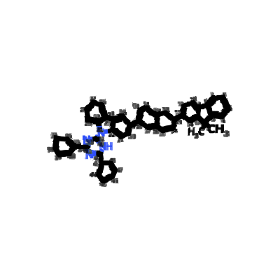 CC1(C)c2ccccc2-c2ccc(-c3ccc4cc(-c5ccc6c(c5)c5ccccc5n6C5N=C(c6ccccc6)N=C(c6ccccc6)N5)ccc4c3)cc21